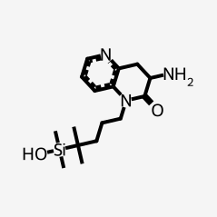 CC(C)(CCCN1C(=O)C(N)Cc2ncccc21)[Si](C)(C)O